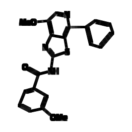 COc1cccc(C(=O)Nc2nc3c(OC)cnc(-c4ccccc4)c3s2)c1